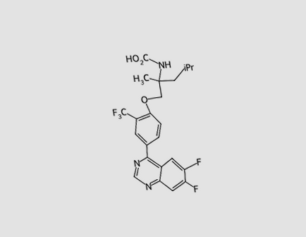 CC(C)CC(C)(COc1ccc(-c2ncnc3cc(F)c(F)cc23)cc1C(F)(F)F)NC(=O)O